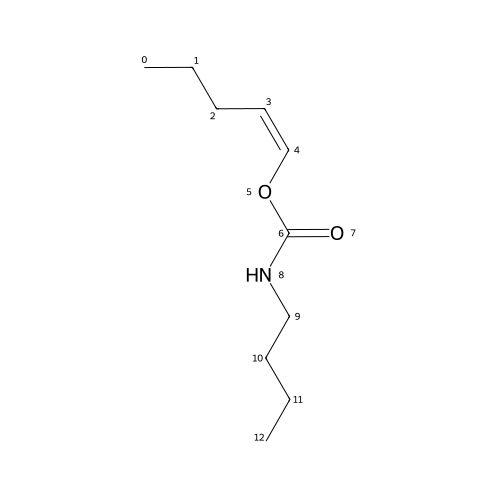 CCC/C=C\OC(=O)NCCCC